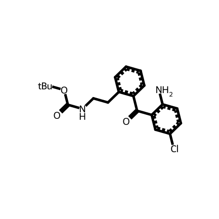 CC(C)(C)OC(=O)NCCc1ccccc1C(=O)c1cc(Cl)ccc1N